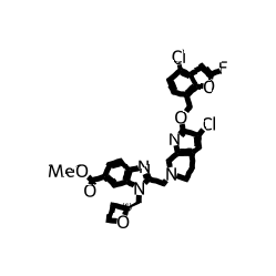 COC(=O)c1ccc2nc(CN3CCc4cc(Cl)c(OCc5ccc(Cl)c6cc(F)oc56)nc4C3)n(C[C@@H]3CCO3)c2c1